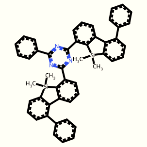 C[Si]1(C)c2cccc(-c3ccccc3)c2-c2cccc(-c3nc(-c4ccccc4)nc(-c4cccc5c4[Si](C)(C)c4cccc(-c6ccccc6)c4-5)n3)c21